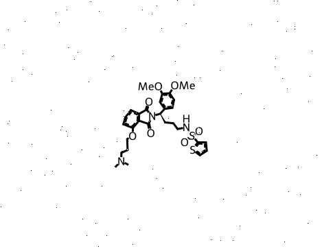 COc1ccc([C@@H](CCCNS(=O)(=O)c2cccs2)N2C(=O)c3cccc(OCCCN(C)C)c3C2=O)cc1OC